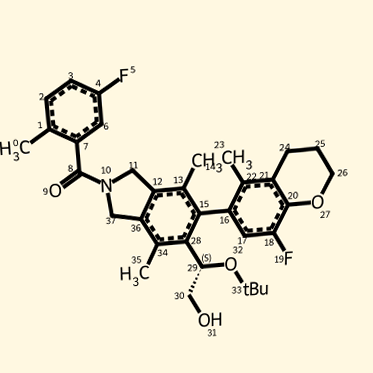 Cc1ccc(F)cc1C(=O)N1Cc2c(C)c(-c3cc(F)c4c(c3C)CCCO4)c([C@@H](CO)OC(C)(C)C)c(C)c2C1